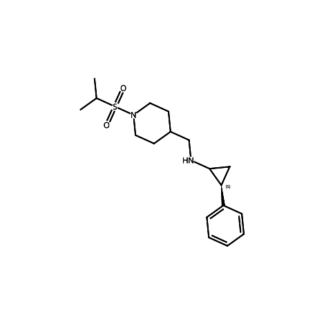 CC(C)S(=O)(=O)N1CCC(CNC2C[C@H]2c2ccccc2)CC1